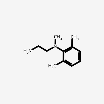 Cc1cccc(C)c1N(C)CCN